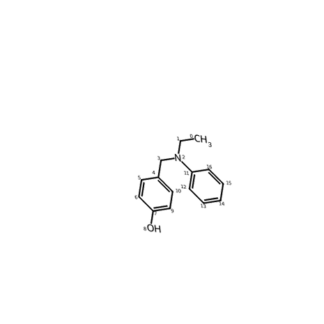 CCN(Cc1ccc(O)cc1)c1ccccc1